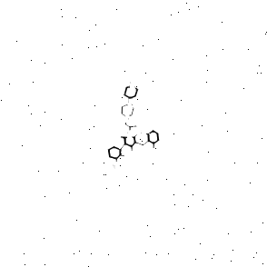 COc1cccc(-c2c(C)c(Cc3c(F)cccc3F)c3n(c2=O)C(CN2CCN(c4ccncc4)CC2)CS3)c1F